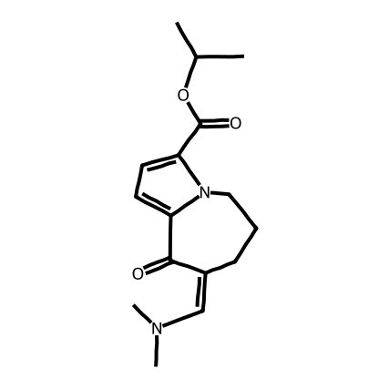 CC(C)OC(=O)c1ccc2n1CCC/C(=C/N(C)C)C2=O